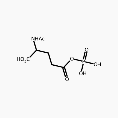 CC(=O)NC(CCC(=O)OP(=O)(O)O)C(=O)O